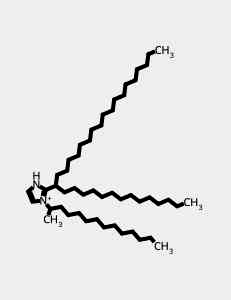 CCCCCCCCCCCCCCCCCCC(CCCCCCCCCCCCCC)c1[nH]cc[n+]1C(C)CCCCCCCCCCCC